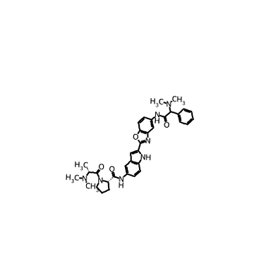 C[C@H](C(=O)N1CCC[C@H]1C(=O)Nc1ccc2[nH]c(-c3nc4cc(NC(=O)C(c5ccccc5)N(C)C)ccc4o3)cc2c1)N(C)C